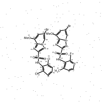 COc1cc(Br)cn2nc(S(=O)(=O)Nc3c(C)ccnc3F)nc12.COc1cc(Br)cn2nc(S(=O)(=O)Nc3c(Cl)cccc3Cl)nc12